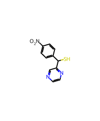 O=[N+]([O-])c1ccc(C(S)c2cnccn2)cc1